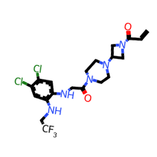 C=CC(=O)N1CC(N2CCN(C(=O)CNc3cc(Cl)c(Cl)cc3NCC(F)(F)F)CC2)C1